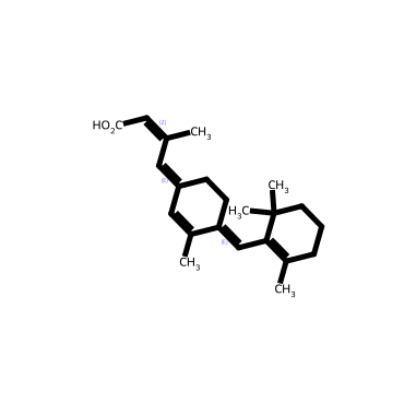 CC1=CC(=C/C(C)=C\C(=O)O)/CC/C1=C\C1=C(C)CCCC1(C)C